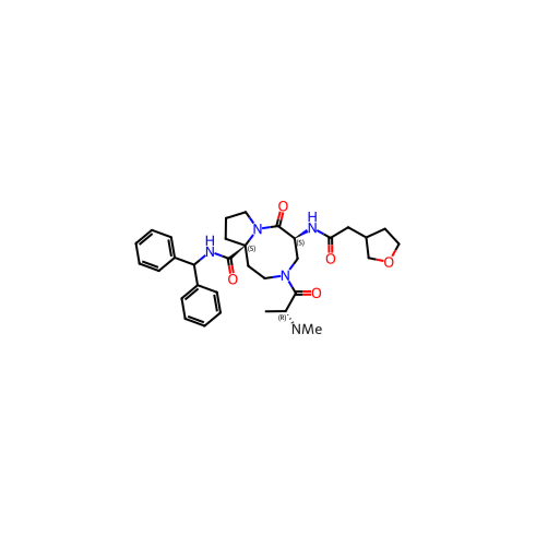 CN[C@H](C)C(=O)N1CC[C@]2(C(=O)NC(c3ccccc3)c3ccccc3)CCCN2C(=O)[C@@H](NC(=O)CC2CCOC2)C1